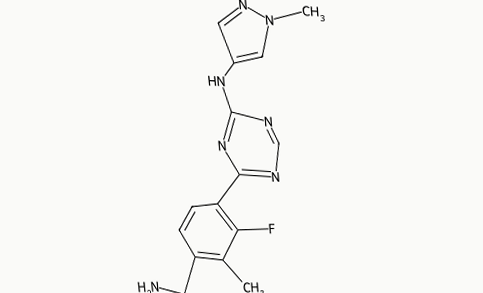 Cc1c(CN)ccc(-c2ncnc(Nc3cnn(C)c3)n2)c1F